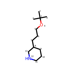 CC(C)(C)OCCCC1CCCNC1